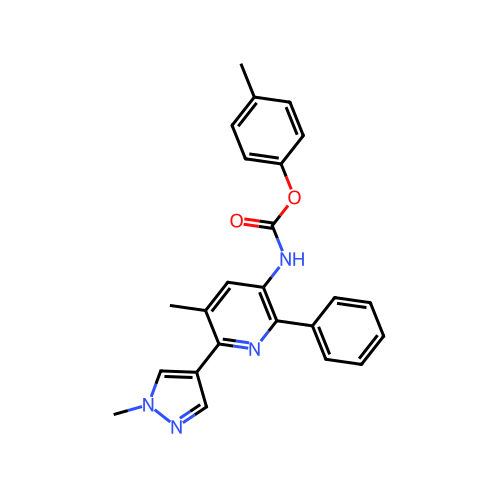 Cc1ccc(OC(=O)Nc2cc(C)c(-c3cnn(C)c3)nc2-c2ccccc2)cc1